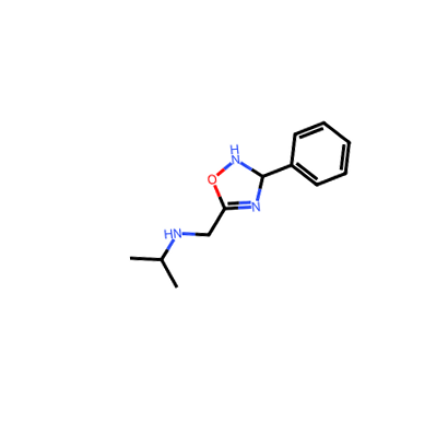 CC(C)NCC1=NC(c2ccccc2)NO1